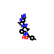 Cc1ccc([C@@H](O)Cn2cc3c(-c4nc(-c5cc6cn(C)nc6nc5C(C)C)n(C)c4C4CC4)cccc3n2)cc1